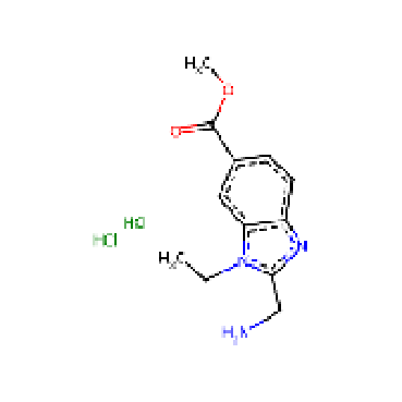 CCn1c(CN)nc2ccc(C(=O)OC)cc21.Cl.Cl